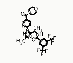 Cc1nc([C@H](C)NC(=O)c2cc(C(F)(F)F)cc(C(F)(F)F)c2)n(-c2ccc(C(=O)N3CCOCC3)cn2)n1